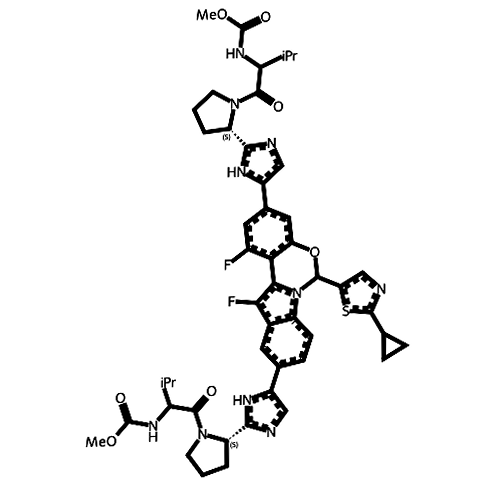 COC(=O)NC(C(=O)N1CCC[C@H]1c1ncc(-c2cc(F)c3c(c2)OC(c2cnc(C4CC4)s2)n2c-3c(F)c3cc(-c4cnc([C@@H]5CCCN5C(=O)C(NC(=O)OC)C(C)C)[nH]4)ccc32)[nH]1)C(C)C